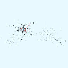 CC1C(O)C(OC2OC(COC(O)(C[C@@H](O)[C@@H](N)C[C@H](O)C(O)CO)C(=O)NCCN)C(O)[C@H](O)[C@@H]2O)[C@H](CO)O[C@H]1OC1[C@@H](OCCC(O)[C@H](OC2O[C@H](CO)[C@@H](O)C(O)C2OC2OC(CO)[C@@H](OC3OC(COC4(C(=O)NCCN)C[C@@H](O)[C@@H](N)C([C@H](O)C(O)CO)O4)[C@H](O)[C@H](O)[C@@H]3C)[C@H](O)[C@@H]2C)[C@@H](O)C(O)OC2C(CO)OC(OC3C(CO)OC(NC(=O)CBr)[C@@H](C)[C@H]3O)[C@@H](C)[C@H]2O)OC(CO)C(O)[C@@H]1O